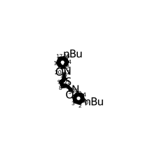 CCCCc1ccc2oc(-c3ccc(-c4nc5cc(CCCC)ccc5o4)s3)nc2c1